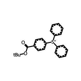 CC(C)(C)OC(=O)c1ccc([S+](c2ccccc2)c2ccccc2)cc1